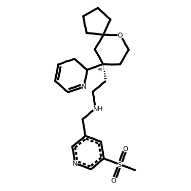 CS(=O)(=O)c1cncc(CNCC[C@@]2(C3CC=CC=N3)CCOC3(CCCC3)C2)c1